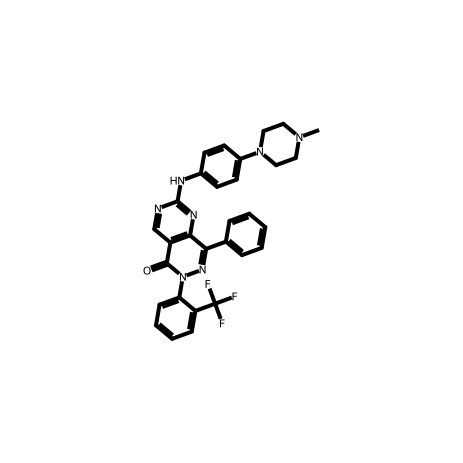 CN1CCN(c2ccc(Nc3ncc4c(=O)n(-c5ccccc5C(F)(F)F)nc(-c5ccccc5)c4n3)cc2)CC1